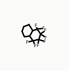 FC1(F)C2CCCCC2C(F)(F)C(F)(F)C1(F)F